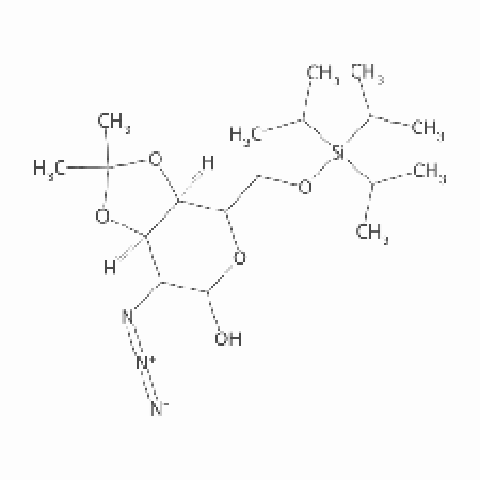 CC(C)[Si](OCC1OC(O)C(N=[N+]=[N-])[C@H]2OC(C)(C)O[C@@H]12)(C(C)C)C(C)C